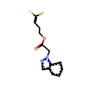 O=C(Cn1ncc2ccccc21)OCCC=C(F)F